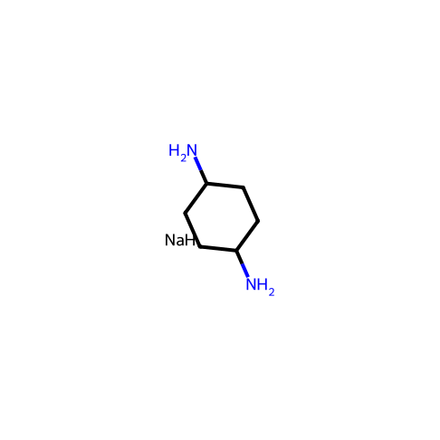 NC1CCC(N)CC1.[NaH]